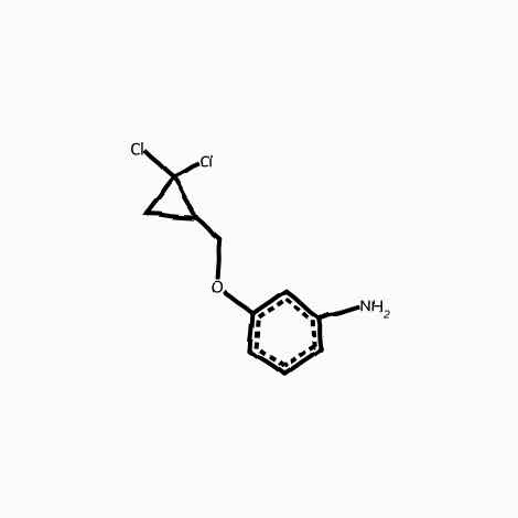 Nc1cccc(OCC2CC2(Cl)Cl)c1